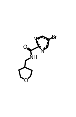 O=C(NCC1CCOCC1)c1ncc(Br)cn1